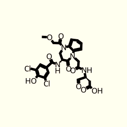 COCC(=O)N1C[C@H](NC(=O)c2cc(Cl)c(O)c(Cl)c2)C(=O)N(CC(=O)N[C@H](C=O)CC(=O)O)c2ccccc21